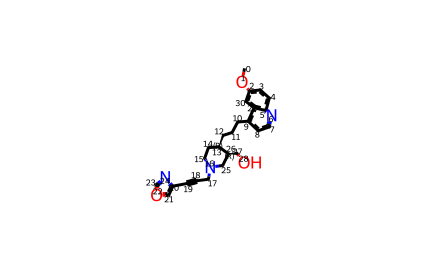 COc1ccc2nccc(CCC[C@@H]3CCN(CC#Cc4cocn4)C[C@@H]3CO)c2c1